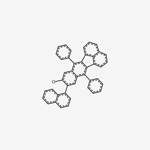 Clc1cc2c(-c3ccccc3)c3c(c(-c4ccccc4)c2cc1-c1cccc2ccccc12)-c1cccc2cccc-3c12